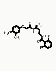 C=C(CCNC(=O)c1c(F)cccc1F)NC(=O)COc1ccc(C)c(C)c1